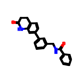 O=C1CCc2ccc(-c3cccc(CNC(=O)c4ccccc4)c3)cc2N1